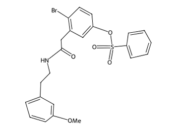 COc1cccc(CCNC(=O)Cc2cc(OS(=O)(=O)c3ccccc3)ccc2Br)c1